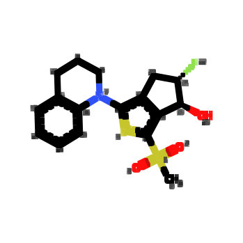 CS(=O)(=O)c1sc(N2CCCc3ccccc32)c2c1[C@H](O)[C@@H](F)C2